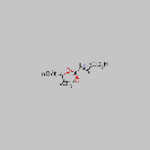 CCCCCCCCC(OC(=O)/C=C/C(=O)O)C(F)(F)F